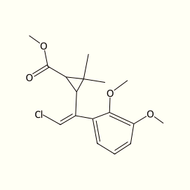 COC(=O)C1C(C(=CCl)c2cccc(OC)c2OC)C1(C)C